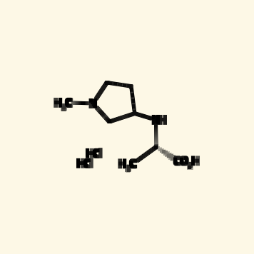 C[C@H](NC1CCN(C)C1)C(=O)O.Cl.Cl